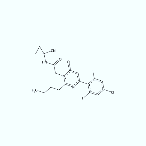 N#CC1(NC(=O)Cn2c(CCCC(F)(F)F)nc(-c3c(F)cc(Cl)cc3F)cc2=O)CC1